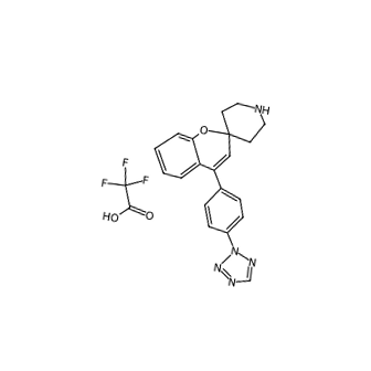 C1=C(c2ccc(-n3ncnn3)cc2)c2ccccc2OC12CCNCC2.O=C(O)C(F)(F)F